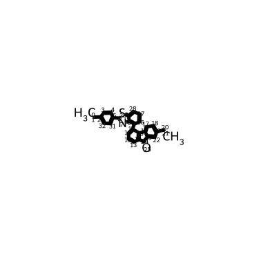 CCc1ccc(-c2nc3c(-c4cccc5c4-c4ccc(CC)cc4C5=O)cccc3s2)cc1